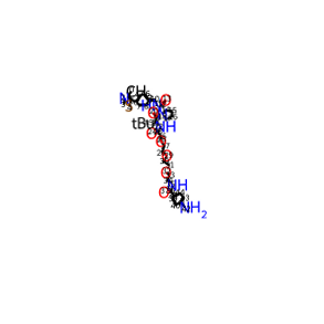 Cc1ncsc1-c1ccc(CNC(=O)[C@@H]2CCCN2C(=O)[C@@H](NC(=O)COCCOCCOCCNC(=O)c2ccc(N)cc2)C(C)(C)C)cc1